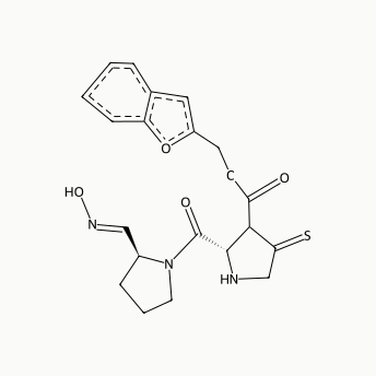 O=C(CCc1cc2ccccc2o1)C1C(=S)CN[C@@H]1C(=O)N1CCC[C@H]1C=NO